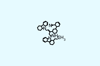 CCCC1CCCC2=C1N(C(N)C/C(=C\CN1C3C=CC=CC3C3CCCCC31)C1CCCC(C3CC=CCC3C#N)C1)C1C=CC=CC21